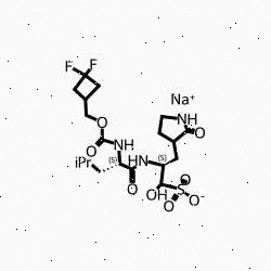 CC(C)C[C@H](NC(=O)OCC1CC(F)(F)C1)C(=O)N[C@@H](CC1CCNC1=O)C(O)S(=O)(=O)[O-].[Na+]